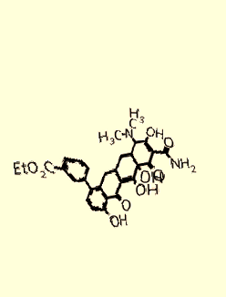 CCOC(=O)c1cccc(-c2ccc(O)c3c2CC2CC4C(N(C)C)C(O)=C(C(N)=O)C(=O)C4(O)C(O)=C2C3=O)c1